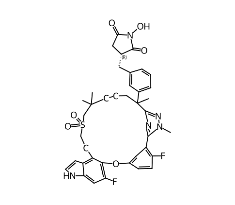 Cn1nc2nc1-c1cc(ccc1F)Oc1c(F)cc3[nH]ccc3c1CCS(=O)(=O)CC(C)(C)CCCC2(C)c1cccc(C[C@@H]2CC(=O)N(O)C2=O)c1